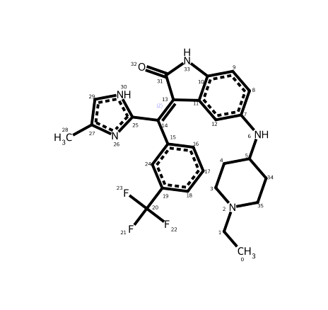 CCN1CCC(Nc2ccc3c(c2)/C(=C(\c2cccc(C(F)(F)F)c2)c2nc(C)c[nH]2)C(=O)N3)CC1